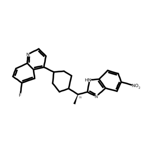 C[C@H](c1nc2cc([N+](=O)[O-])ccc2[nH]1)C1CCC(c2ccnc3ccc(F)cc23)CC1